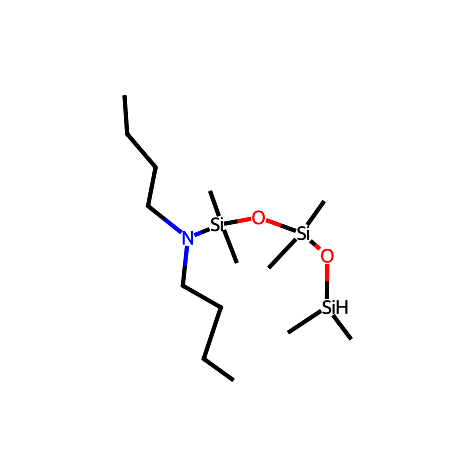 CCCCN(CCCC)[Si](C)(C)O[Si](C)(C)O[SiH](C)C